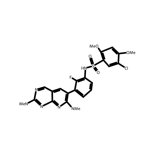 CNc1ncc2cc(-c3cccc(NS(=O)(=O)c4cc(Cl)c(OC)cc4OC)c3F)c(NC)nc2n1